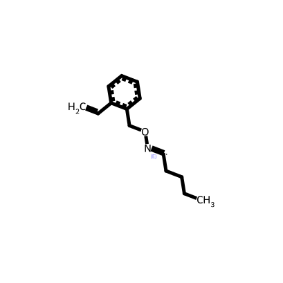 C=Cc1ccccc1CO/N=[C]/CCCC